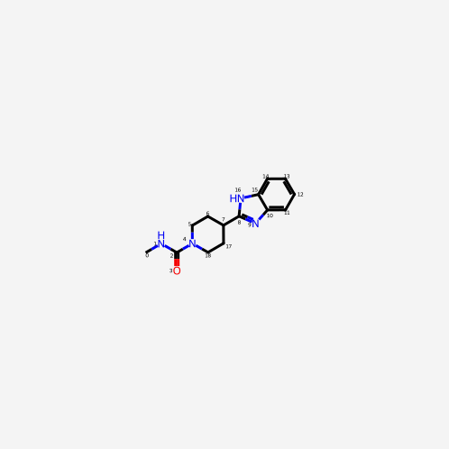 CNC(=O)N1CCC(c2nc3ccccc3[nH]2)CC1